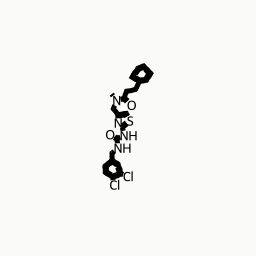 CN(Cc1csc(NC(=O)NCc2ccc(Cl)c(Cl)c2)n1)C(=O)CCc1ccccc1